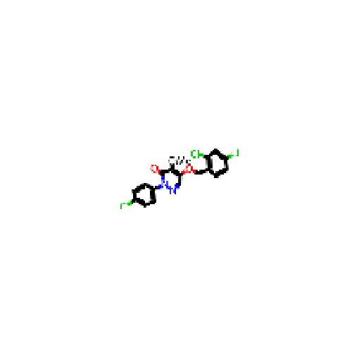 COc1c(OCc2ccc(Cl)cc2Cl)cnn(-c2ccc(Cl)cc2)c1=O